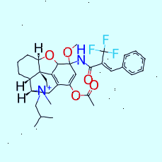 COC1(NC(=O)C(=Cc2ccccc2)C(F)(F)F)C=C(OC(C)=O)C2=C3C1O[C@H]1CCC[C@H]4[C@@H](C2)[N+](C)(CC(C)C)CC[C@]314